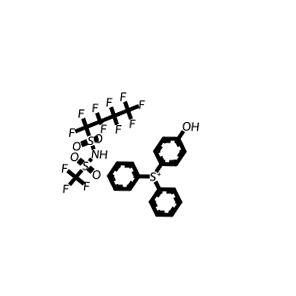 O=S(=O)(NS(=O)(=O)C(F)(F)C(F)(F)C(F)(F)C(F)(F)F)C(F)(F)F.Oc1ccc([S+](c2ccccc2)c2ccccc2)cc1